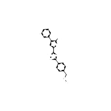 [CH2]CCNCc1ccc(-c2noc(-c3cc(-c4ccccc4)c(C(F)(F)F)s3)n2)cc1